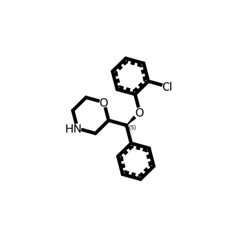 Clc1ccccc1O[C@@H](c1ccccc1)C1CNCCO1